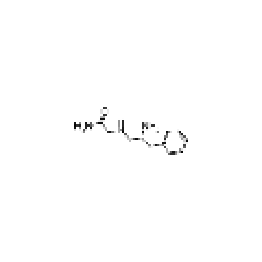 NC(=O)CNCC(N)Cc1ccccc1